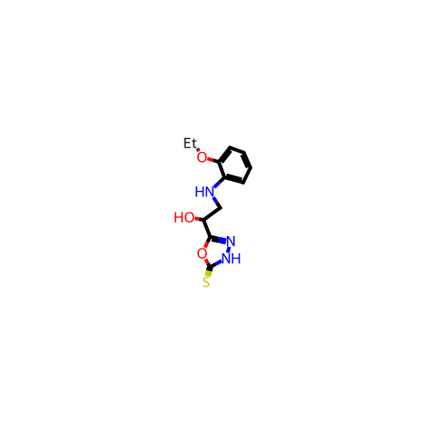 CCOc1ccccc1NCC(O)c1n[nH]c(=S)o1